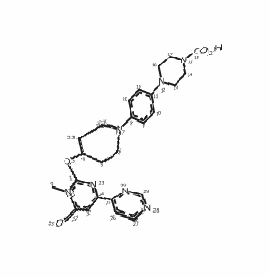 Cn1c(OC2CCN(c3ccc(N4CCN(C(=O)O)CC4)cc3)CC2)nc(-c2ccncn2)cc1=O